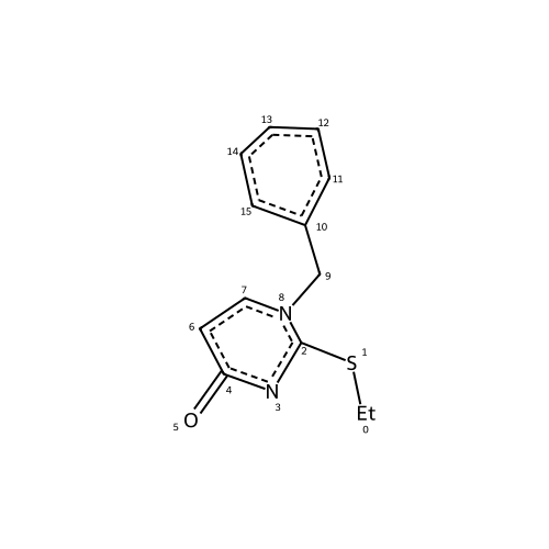 CCSc1nc(=O)ccn1Cc1ccccc1